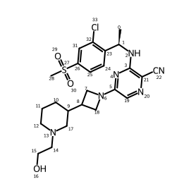 C[C@@H](Nc1nc(N2CC(C3CCCN(CCO)C3)C2)cnc1C#N)c1ccc(S(C)(=O)=O)cc1Cl